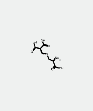 NC(CSCC(C(=O)O)C(=O)O)C(=O)O